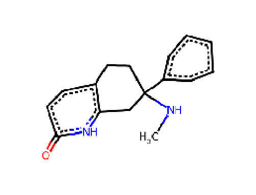 CNC1(c2ccccc2)CCc2ccc(=O)[nH]c2C1